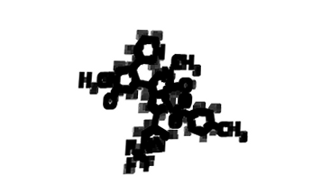 Cc1ccc(S(=O)(=O)n2c(-c3cnn(C(F)(F)F)c3)cc3c(-c4cc(=O)n(C)cc4-c4cccnc4)cn(C)c(=O)c32)cc1